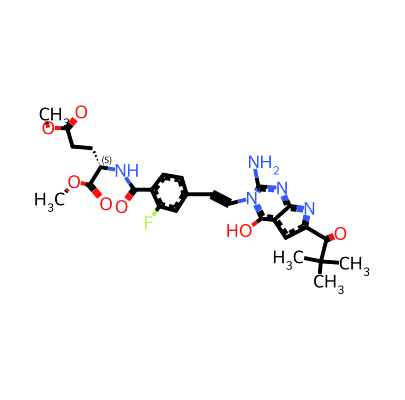 COC(=O)CC[C@H](NC(=O)c1ccc(C#Cn2c(N)nc3nc(C(=O)C(C)(C)C)cc-3c2O)cc1F)C(=O)OC